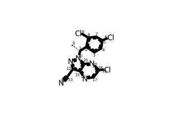 C[C@H](c1ccc(Cl)cc1Cl)n1nc(C#N)c2ncc(Cl)nc21